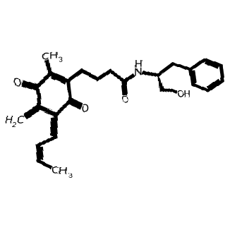 C=C1C(=O)C(C)=C(CCCC(=O)N[C@H](CO)Cc2ccccc2)C(=O)/C1=C/C=C\C